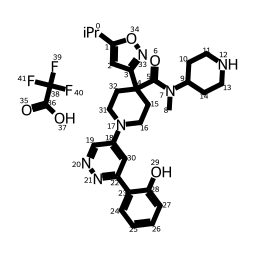 CC(C)c1cc(C2(C(=O)N(C)C3CCNCC3)CCN(c3cnnc(-c4ccccc4O)c3)CC2)no1.O=C(O)C(F)(F)F